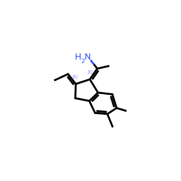 C/C=C1\Cc2cc(C)c(C)cc2\C1=C(/C)N